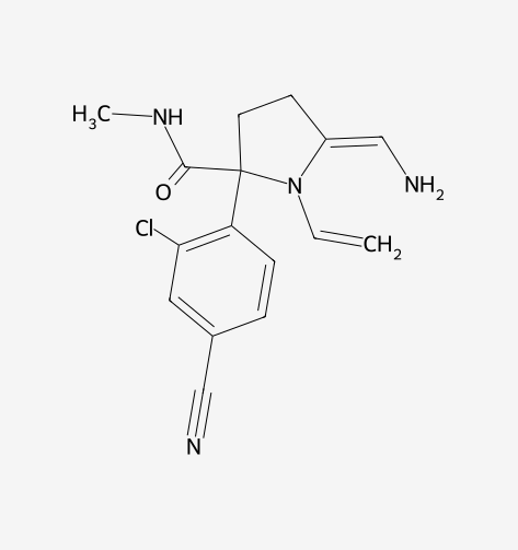 C=CN1/C(=C\N)CCC1(C(=O)NC)c1ccc(C#N)cc1Cl